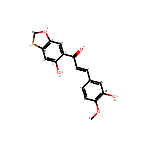 COc1ccc(C=CC(=O)c2cc3c(cc2O)SCO3)cc1O